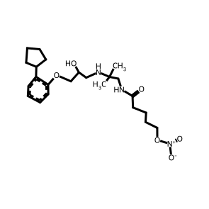 CC(C)(CNC(=O)CCCCO[N+](=O)[O-])NCC(O)COc1ccccc1C1CCCC1